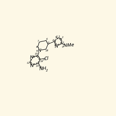 CNc1csc(C2CCCN(c3ncnc(N)c3Cl)C2)n1